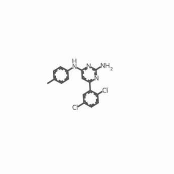 Cc1ccc(Nc2cc(-c3cc(Cl)ccc3Cl)nc(N)n2)cc1